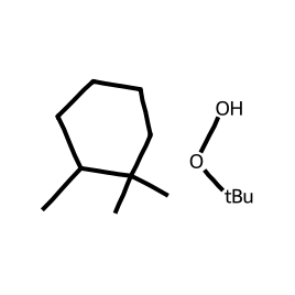 CC(C)(C)OO.CC1CCCCC1(C)C